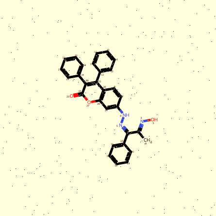 CC(=NO)C(=NNc1ccc2c(-c3ccccc3)c(-c3ccccc3)c(=O)oc2c1)c1ccccc1